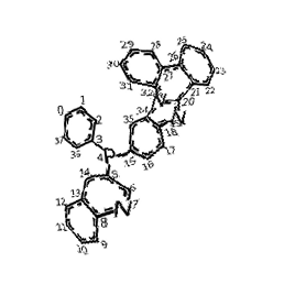 c1ccc(P(c2cnc3ccccc3c2)c2ccc3nc4c5ccccc5c5ccccc5n4c3c2)cc1